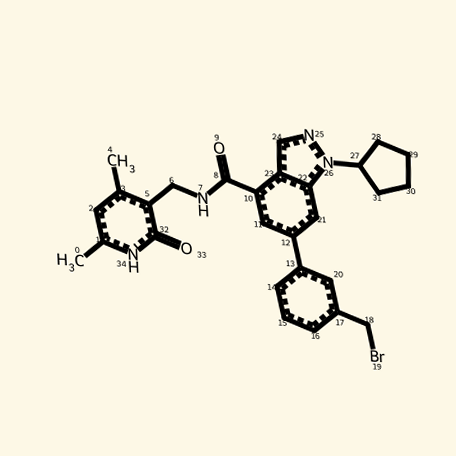 Cc1cc(C)c(CNC(=O)c2cc(-c3cccc(CBr)c3)cc3c2cnn3C2CCCC2)c(=O)[nH]1